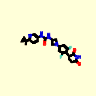 CC1(c2ccc(NC(=O)NC3CN(c4cc(F)c(C5CCC(=O)NC5=O)c(F)c4)C3)cn2)CC1